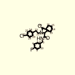 O=C(NCc1ccc(F)cc1)C1c2ccccc2C(=O)N1CCc1ccc(Cl)cc1